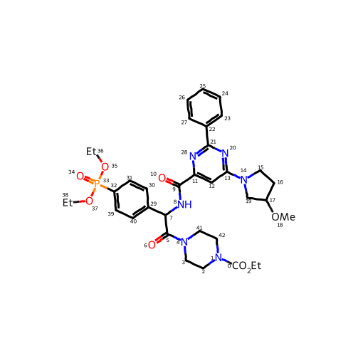 CCOC(=O)N1CCN(C(=O)C(NC(=O)c2cc(N3CCC(OC)C3)nc(-c3ccccc3)n2)c2ccc(P(=O)(OCC)OCC)cc2)CC1